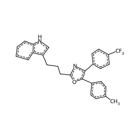 Cc1ccc(-c2oc(CCCc3c[nH]c4ccccc34)nc2-c2ccc(C(F)(F)F)cc2)cc1